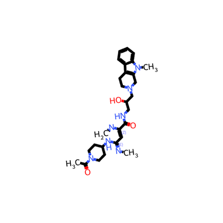 C=N/C(=C\C(=N/C)NC1CCN(C(C)=O)CC1)C(=O)NCC(O)CN1CCc2c(n(C)c3ccccc23)C1